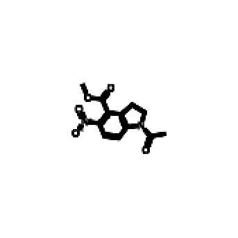 COC(=O)c1c([N+](=O)[O-])ccc2c1CCN2C(C)=O